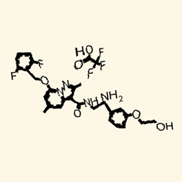 Cc1cc(OCc2c(F)cccc2F)n2nc(C)c(C(=O)NCC(N)c3cccc(OCCO)c3)c2c1.O=C(O)C(F)(F)F